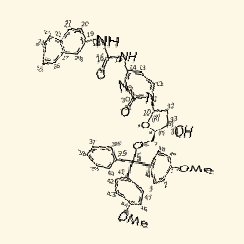 COc1ccc(C(OC[C@H]2O[C@@H](n3ccc(NC(=O)Nc4ccc5ccccc5c4)nc3=O)C[C@@H]2O)(c2ccccc2)c2ccc(OC)cc2)cc1